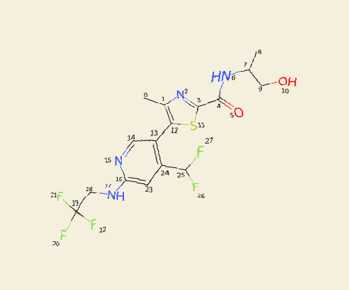 Cc1nc(C(=O)NC(C)CO)sc1-c1cnc(NCC(F)(F)F)cc1C(F)F